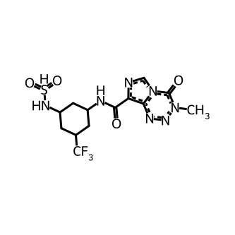 Cn1nnc2c(C(=O)NC3CC(N[SH](=O)=O)CC(C(F)(F)F)C3)ncn2c1=O